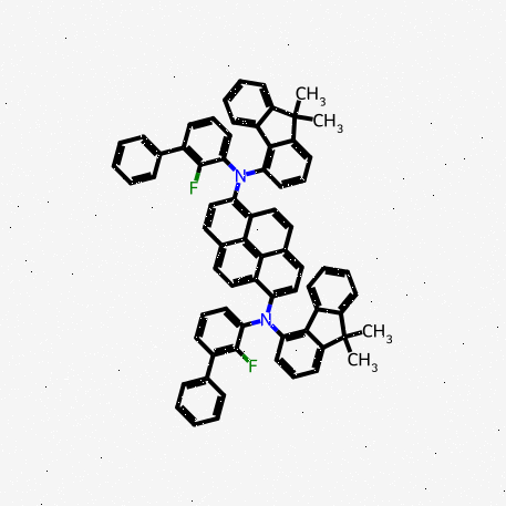 CC1(C)c2ccccc2-c2c(N(c3cccc(-c4ccccc4)c3F)c3ccc4ccc5c(N(c6cccc(-c7ccccc7)c6F)c6cccc7c6-c6ccccc6C7(C)C)ccc6ccc3c4c65)cccc21